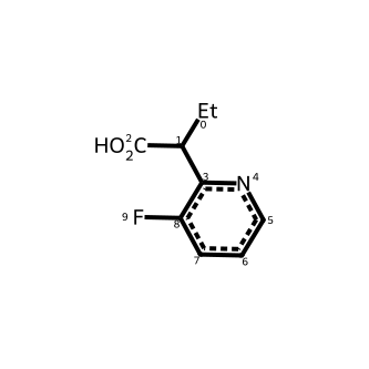 CCC(C(=O)O)c1ncccc1F